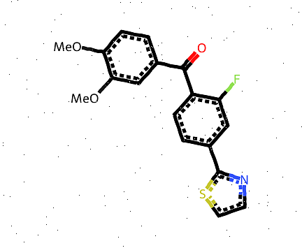 COc1ccc(C(=O)c2ccc(-c3nccs3)cc2F)cc1OC